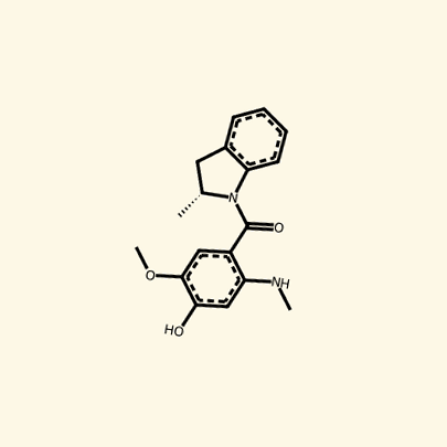 CNc1cc(O)c(OC)cc1C(=O)N1c2ccccc2C[C@H]1C